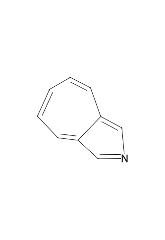 c1ccc2cncc-2cc1